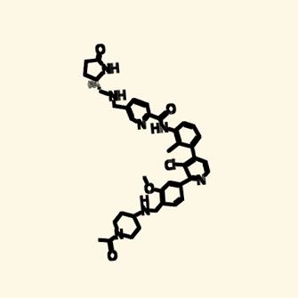 COc1cc(-c2nccc(-c3cccc(NC(=O)c4ccc(CNC[C@@H]5CCC(=O)N5)cn4)c3C)c2Cl)ccc1CNC1CCN(C(C)=O)CC1